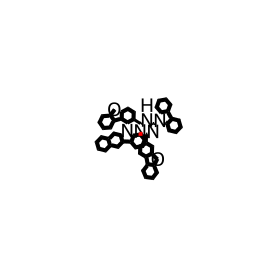 c1ccc2cc3c(cc2c1)c1ccccc1n3-c1c(C2N=C(c3ccc4c(c3)oc3ccccc34)N=C(n3c4ccccc4c4ccccc43)N2)ccc2oc3ccccc3c12